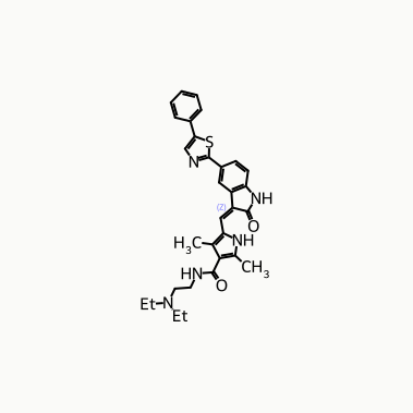 CCN(CC)CCNC(=O)c1c(C)[nH]c(/C=C2\C(=O)Nc3ccc(-c4ncc(-c5ccccc5)s4)cc32)c1C